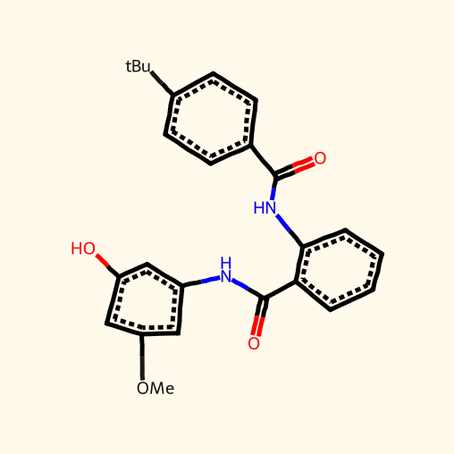 COc1cc(O)cc(NC(=O)c2ccccc2NC(=O)c2ccc(C(C)(C)C)cc2)c1